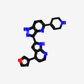 C1=C(c2ccc3[nH]nc(-c4cc5c(-c6ccoc6)ccnc5[nH]4)c3n2)CCNC1